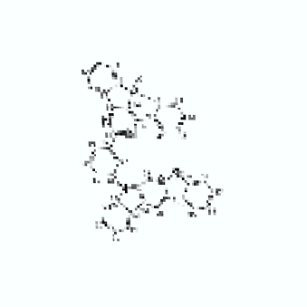 CC1(C)c2ccccc2-c2nc(-c3cccc(-n4c5ccccc5c5cc6c(cc54)sc4ccccc46)c3)nc(-c3ccccc3)c21